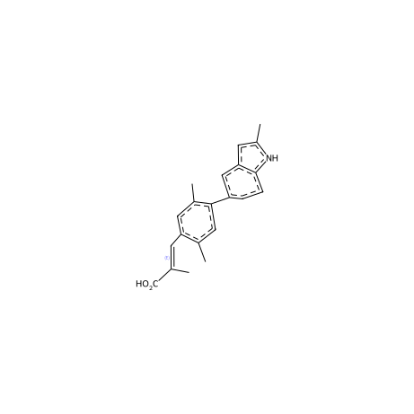 C/C(=C\c1cc(C)c(-c2ccc3[nH]c(C)cc3c2)cc1C)C(=O)O